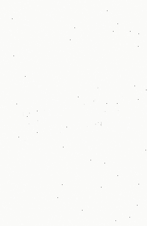 O=C1Nc2cc(F)ccc2OC1c1ccc(C(F)(F)F)cc1